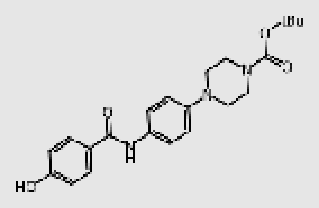 CC(C)(C)OC(=O)N1CCN(c2ccc(NC(=O)c3ccc(O)cc3)cc2)CC1